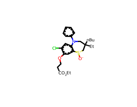 CCCCC1(CC)CN(c2ccccc2)c2cc(Cl)c(OCCC(=O)OCC)cc2[S+]([O-])C1